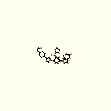 CC(=O)OCC1CCC(c2cn(-c3cnc(-n4ncc5cc(C#N)cnc54)cc3NC3CCCC3)nn2)CC1